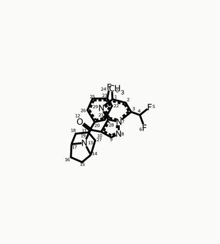 Cc1cc(C(F)F)n2ncc(C(=O)N3C4CCC3CC(c3ccc(F)cc3)C4)c2n1